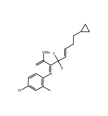 C=C(OC)/C(=N\c1ccc(CC)cc1C)C(F)(F)/C=C/CCC1CC1